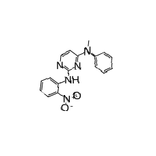 CN(c1ccccc1)c1ccnc(Nc2ccccc2[N+](=O)[O-])n1